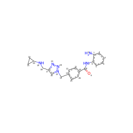 Nc1ccccc1NC(=O)c1ccc(Cn2cc(CNC3CC3)nn2)cc1